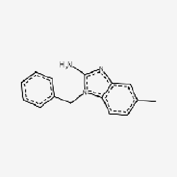 Cc1ccc2c(c1)nc(N)n2Cc1ccccc1